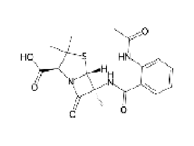 CC(=O)Nc1ccccc1C(=O)N[C@@]1(C)C(=O)N2[C@@H](C(=O)O)C(C)(C)S[C@@H]21